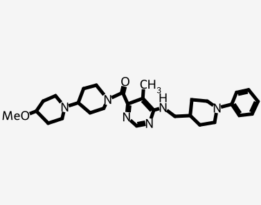 COC1CCN(C2CCN(C(=O)c3ncnc(NCC4CCN(c5ccccc5)CC4)c3C)CC2)CC1